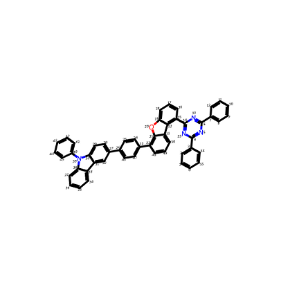 c1ccc(-c2nc(-c3ccccc3)nc(-c3cccc4oc5c(-c6ccc(-c7ccc8c(c7)c7ccccc7n8-c7ccccc7)cc6)cccc5c34)n2)cc1